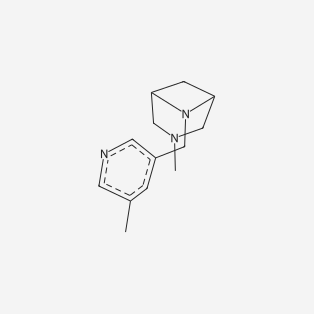 Cc1cncc(CN2C3CC2CN(C)C3)c1